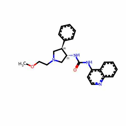 COCCN1C[C@@H](NC(=O)Nc2ccnc3ccccc23)[C@H](c2ccccc2)C1